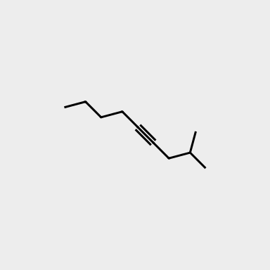 CCCCC#CCC(C)C